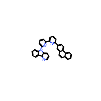 c1cc(-c2ccc3c(ccc4ccccc43)c2)nc(-c2cccc(-n3c4ccccc4c4ncccc43)n2)c1